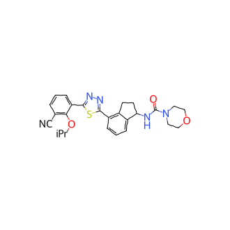 CC(C)Oc1c(C#N)cccc1-c1nnc(-c2cccc3c2CCC3NC(=O)N2CCOCC2)s1